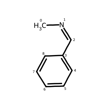 C/N=C\c1ccccc1